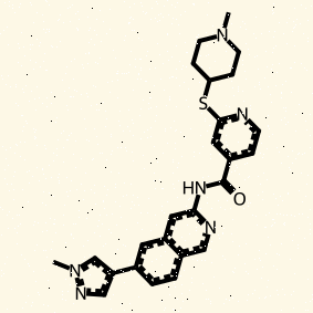 CN1CCC(Sc2cc(C(=O)Nc3cc4cc(-c5cnn(C)c5)ccc4cn3)ccn2)CC1